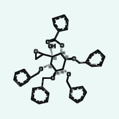 O=C(O[C@@H]1[C@@H](OCc2ccccc2)[C@H](OCc2ccccc2)[C@@H](OCc2ccccc2)[C@H](OCc2ccccc2)[C@@]1(O)C1CO1)c1ccccc1